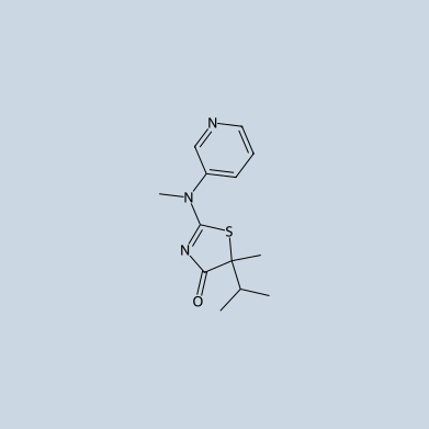 CC(C)C1(C)SC(N(C)c2cccnc2)=NC1=O